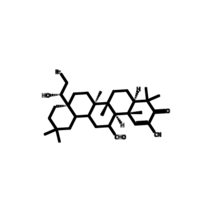 CC1(C)CC[C@]2([C@H](O)CBr)CC[C@]3(C)C(CC(C=O)[C@@H]4[C@@]5(C)C=C(C#N)C(=O)C(C)(C)[C@@H]5CC[C@]43C)C2C1